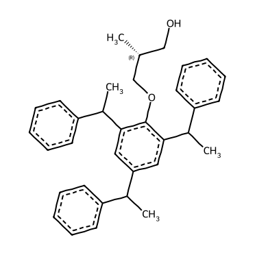 CC(c1ccccc1)c1cc(C(C)c2ccccc2)c(OC[C@H](C)CO)c(C(C)c2ccccc2)c1